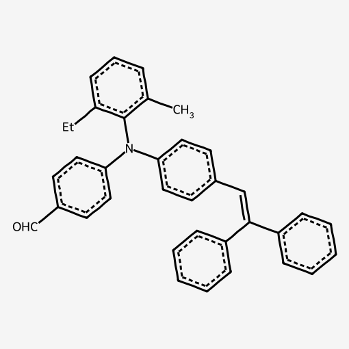 CCc1cccc(C)c1N(c1ccc(C=O)cc1)c1ccc(C=C(c2ccccc2)c2ccccc2)cc1